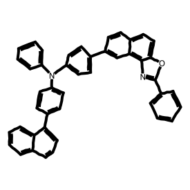 c1ccc(-c2nc3c(ccc4ccc(-c5ccc(N(c6ccccc6)c6ccc(-c7cccc8ccccc78)cc6)cc5)cc43)o2)cc1